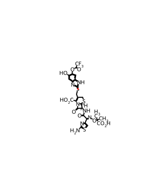 CC(C)(ON=C(C(=O)N[C@@H]1C(=O)N2C(C(=O)O)=C(CSc3nc4cc(O)c(OC(=O)C(F)(F)F)cc4[nH]3)CS[C@@H]12)c1csc(N)n1)C(=O)O